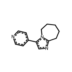 c1cc(-c2cnc3n2CCCCC3)ccn1